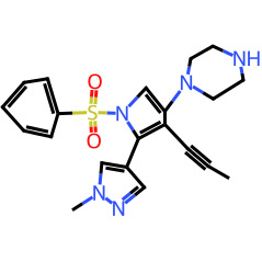 CC#Cc1c(N2CCNCC2)cn(S(=O)(=O)c2ccccc2)c1-c1cnn(C)c1